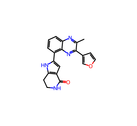 Cc1nc2cccc(-c3cc4c([nH]3)CCNC4=O)c2nc1-c1ccoc1